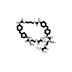 C=C(C)C(=O)OCCN(C(=O)NC1CCC(CC2CCC(NC(=O)OCCCCOC(=O)NC3CCC(CC4CCC(NC(=O)N(CCOC(=O)C(=C)C)C(C)(C)C)CC4)CC3)CC2)CC1)C(C)(C)C